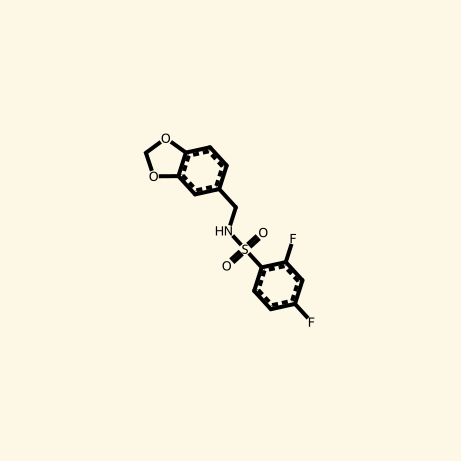 O=S(=O)(NCc1ccc2c(c1)OCO2)c1ccc(F)cc1F